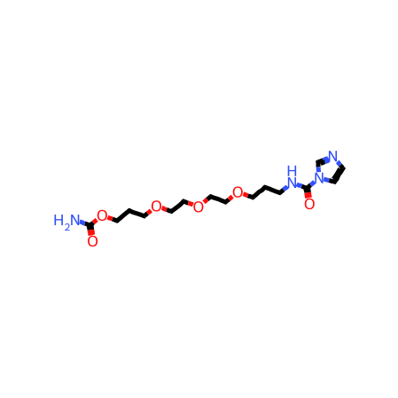 NC(=O)OCCCOCCOCCOCCCNC(=O)n1ccnc1